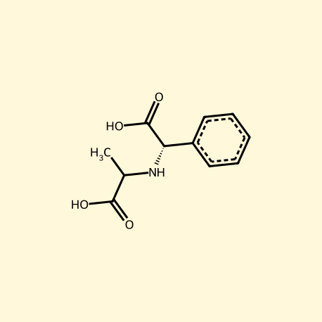 CC(N[C@H](C(=O)O)c1ccccc1)C(=O)O